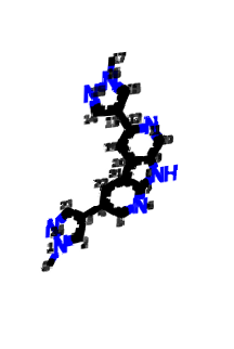 Cn1cc(-c2cnc3[nH]c4cnc(-c5cnn(C)c5)cc4c3c2)cn1